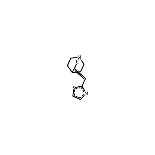 C(=C1CN2CCC1CC2)c1nccs1